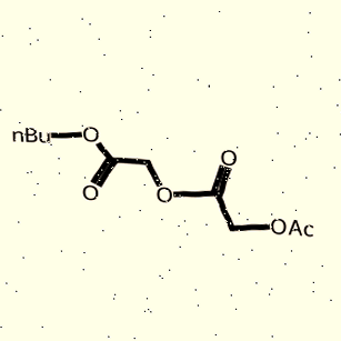 CCCCOC(=O)COC(=O)COC(C)=O